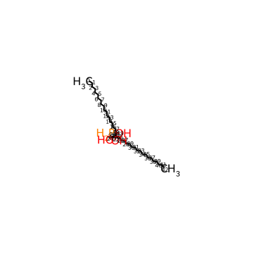 CCCCCCCCCCCCCCCCCCC(O)(P)C(O)(CO)CCCCCCCCCCCCCCCCCC